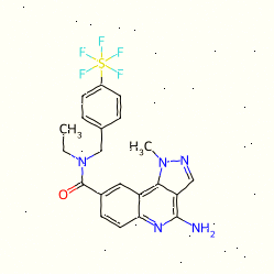 CCN(Cc1ccc(S(F)(F)(F)(F)F)cc1)C(=O)c1ccc2nc(N)c3cnn(C)c3c2c1